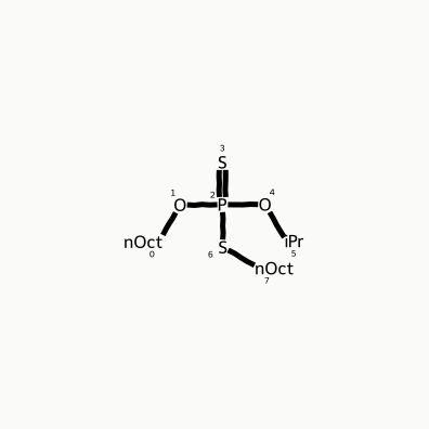 CCCCCCCCOP(=S)(OC(C)C)SCCCCCCCC